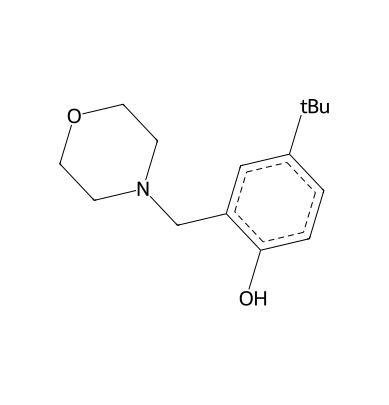 CC(C)(C)c1ccc(O)c(CN2CCOCC2)c1